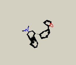 CN(C)[C@@H]1Cc2ccccc2[C@@H](c2cccc(-c3ccco3)c2)C1